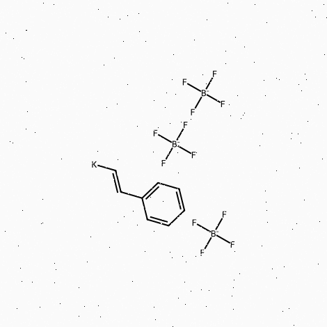 F[B-](F)(F)F.F[B-](F)(F)F.F[B-](F)(F)F.[K][CH]=Cc1ccccc1